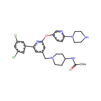 COC(=O)NC1CCN(Cc2cc(Oc3ccc(N4CCNCC4)nc3)nc(-c3cc(Cl)cc(Cl)c3)c2)CC1